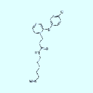 CNCCCCCNC(=O)CCc1ccccc1Sc1ccc(Cl)cc1